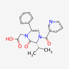 CC(C)[C@@H]1C(=O)N(CC(=O)O)C(c2ccccc2)=CN1C(=O)c1cccnc1